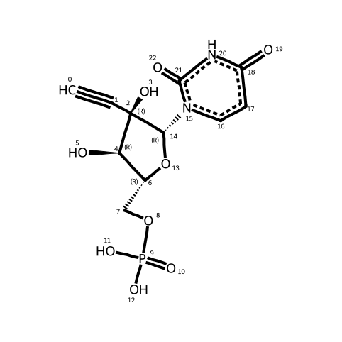 C#C[C@@]1(O)[C@H](O)[C@@H](COP(=O)(O)O)O[C@H]1n1ccc(=O)[nH]c1=O